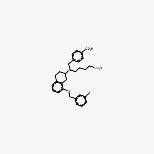 O=C(O)CCCCN(Cc1ccc(C(=O)O)cc1)C1CCc2cccc(OCc3cccc(F)c3)c2C1